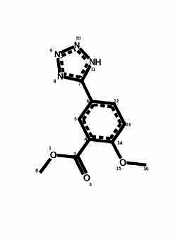 COC(=O)c1cc(-c2nnn[nH]2)ccc1OC